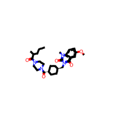 CCCC(C)C(=O)N1CCN(C(=O)[C@H]2CC[C@H](Cn3c(=O)c4cc(OC)ccc4n(C)c3=O)CC2)CC1